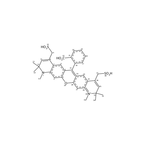 CN1c2cc3c(cc2C(CS(=O)(=O)O)=CC1(C)C)C(c1ccccc1C(=O)O)=c1cc2c(cc1O3)=[N+](C)C(C)(C)C=C2CS(=O)(=O)O